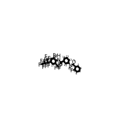 CN(C(=O)c1ccccc1F)c1cccc(C(=O)Nc2c(Br)cc(C(F)(C(F)(F)F)C(F)(F)C(F)(F)F)cc2C(F)(F)F)c1